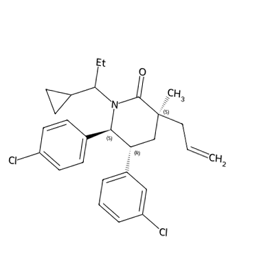 C=CC[C@@]1(C)C[C@H](c2cccc(Cl)c2)[C@@H](c2ccc(Cl)cc2)N(C(CC)C2CC2)C1=O